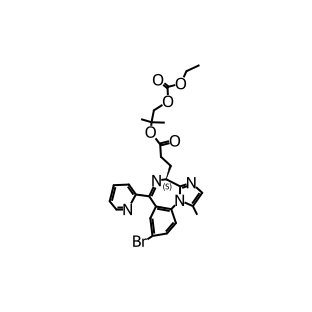 CCOC(=O)OCC(C)(C)OC(=O)CC[C@@H]1N=C(c2ccccn2)c2cc(Br)ccc2-n2c(C)cnc21